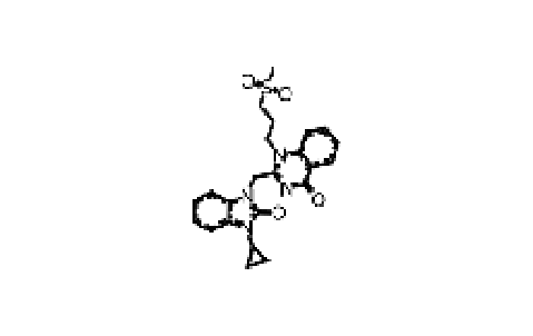 CS(=O)(=O)CCCn1c(Cn2c(=O)n(C3CC3)c3ccccc32)nc(=O)c2ccccc21